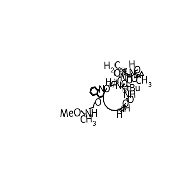 C=C[C@@H]1C[C@]1(NC(=O)[C@@H]1C[C@@H]2CN1C(=O)[C@H](C(C)(C)C)NC(=O)O[C@@H]1C[C@H]1CCCCCc1c(nc3ccccc3c1OCCCNC(C)COC)O2)C(=O)NS(=O)(=O)C1(C)CC1